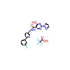 O=C(NCc1ccc(-c2cccc(F)c2)nc1)c1cnc(-n2cccn2)nc1O.O=C(O)C(F)(F)F